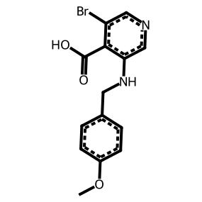 COc1ccc(CNc2cncc(Br)c2C(=O)O)cc1